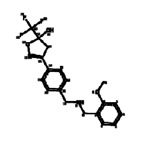 COc1ccccc1CNCc1ccc(C2=NOC(O)(C(F)(F)F)C2)cc1